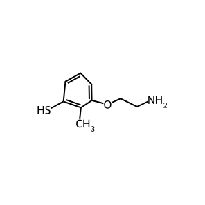 Cc1c(S)cccc1OCCN